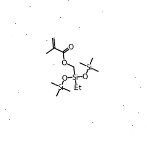 C=C(C)C(=O)OC[Si](CC)(O[Si](C)(C)C)O[Si](C)(C)C